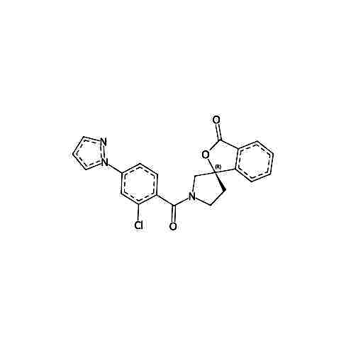 O=C1O[C@]2(CCN(C(=O)c3ccc(-n4cccn4)cc3Cl)C2)c2ccccc21